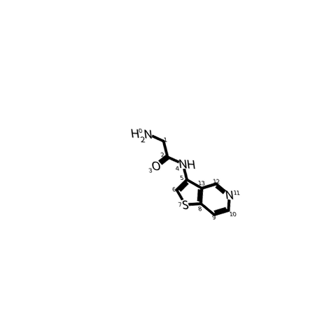 NCC(=O)Nc1csc2ccncc12